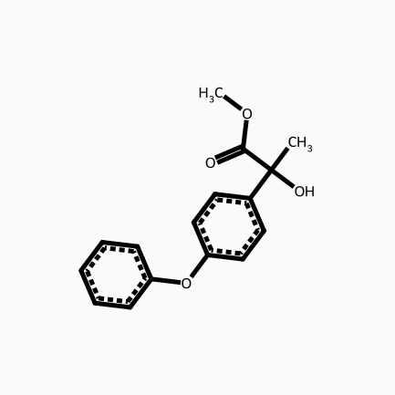 COC(=O)C(C)(O)c1ccc(Oc2ccccc2)cc1